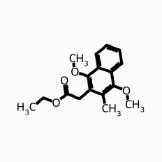 CCOC(=O)Cc1c(C)c(OC)c2ccccc2c1OC